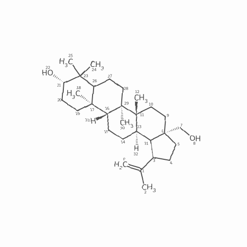 C=C(C)C1CC[C@]2(CO)CC[C@]3(C)[C@H](CC[C@@H]4[C@@]5(C)CC[C@H](O)C(C)(C)C5CC[C@]43C)C12